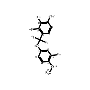 CCCc1ccc(C(F)(F)Oc2ccc(OC(F)(F)F)c(F)c2)c(F)c1F